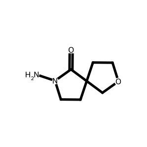 NN1CCC2(CCOC2)C1=O